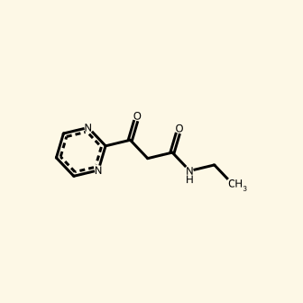 CCNC(=O)CC(=O)c1ncccn1